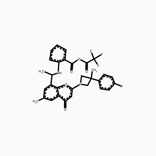 Cc1cc(C(C)Nc2ccccc2C(=O)OC(=O)C(F)(F)F)c2oc(N3CC(C)(c4ccc(F)cc4)C3)cc(=O)c2c1